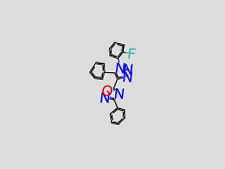 Fc1ccccc1-n1nnc(-c2nc(-c3ccccc3)no2)c1-c1ccccc1